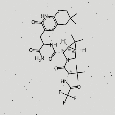 CC1(C)CCc2[nH]c(=O)c(CC(NC(=O)[C@@H]3[C@@H]4[C@H](CN3C(=O)[C@@H](NC(=O)C(F)(F)F)C(C)(C)C)C4(C)C)C(N)=O)cc2C1